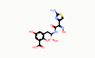 Nc1nc(C(=NO)C(=O)NC2Cc3cc(O)cc(C(=O)O)c3OB2O)cs1